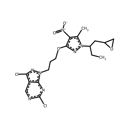 CCC(CC1CO1)n1nc(OCCCn2nc(Cl)c3cnc(Cl)nc32)c([N+](=O)[O-])c1C